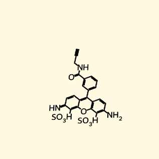 C#CCNC(=O)c1cccc(-c2c3ccc(=N)c(S(=O)(=O)O)c-3oc3c(S(=O)(=O)O)c(N)ccc23)c1